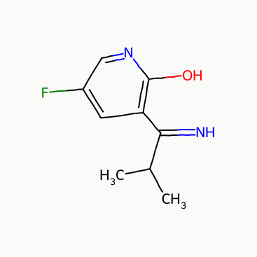 CC(C)C(=N)c1cc(F)cnc1O